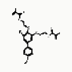 C=C(C)C(=O)OCCOc1cc(-c2ccc(OC)cc2)cc(F)c1OCCOC(=O)C(=C)C